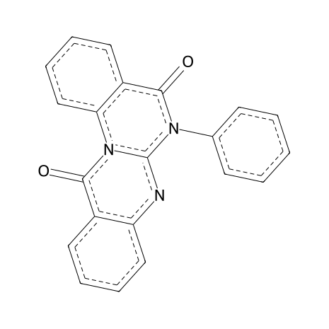 O=c1c2ccccc2n2c(=O)c3ccccc3nc2n1-c1ccccc1